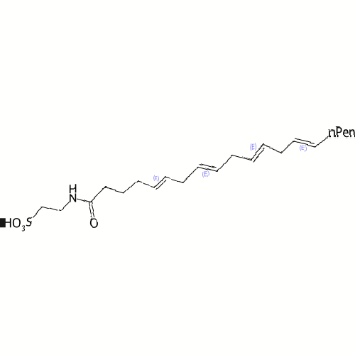 CCCCC/C=C/C/C=C/C/C=C/C/C=C/CCCC(=O)NCCS(=O)(=O)O